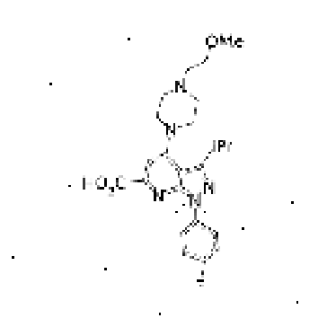 COCCN1CCN(c2cc(C(=O)O)nc3c2c(C(C)C)nn3-c2ccc(F)cc2)CC1